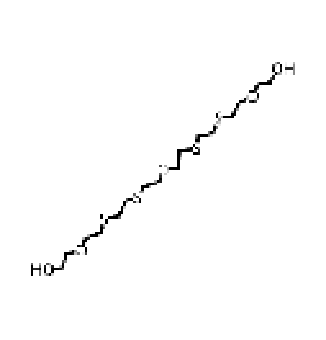 OCCOCCSCCSCCOCCSCCSCCOCCO